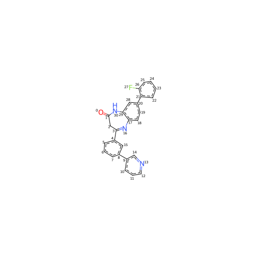 O=C1CC(c2cccc(-c3cccnc3)c2)=Nc2ccc(-c3ccccc3F)cc2N1